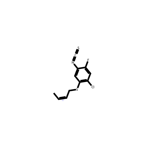 C/C=C\CSc1cc(N=C=S)c(F)cc1Cl